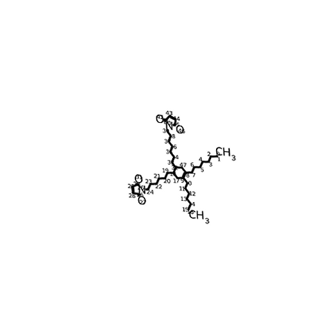 CCCCCCCCC1=C(CCCCCCC)CC(CCCCCCN2C(=O)C=CC2=O)C(CCCCCCCN2C(=O)C=CC2=O)C1